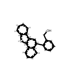 OCc1ccccc1-c1cc2c3ccccc3sc2c2ccccc12